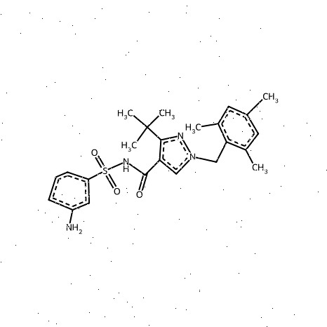 Cc1cc(C)c(Cn2cc(C(=O)NS(=O)(=O)c3cccc(N)c3)c(C(C)(C)C)n2)c(C)c1